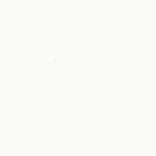 CCOC(=O)CC=C1CCN(C(=O)OC(C)(C)C)CC1